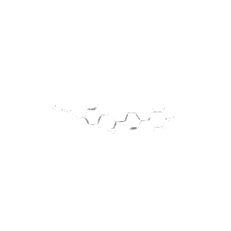 CCCCCOc1ccc(OC(=O)c2ccc(C3CCC(C)CC3)cc2)cc1